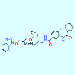 CN/C=C(/CNC(=O)c1ccc2c(c1)NC(=O)c1ccccc1S2)SC(C)OCCCOn1nnc2cccnc21